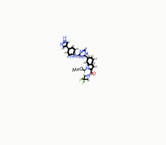 COCn1c(C(=O)N2CC(F)(F)C2)cc2ccc(-c3ncnc(Nc4ccc(-c5cn[nH]c5)cc4)n3)cc21